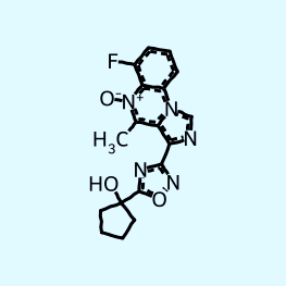 Cc1c2c(-c3noc(C4(O)CCCC4)n3)ncn2c2cccc(F)c2[n+]1[O-]